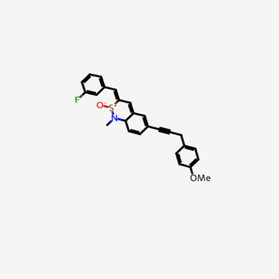 COc1ccc(CC#CC2=CC3=C/C(=C/c4cccc(F)c4)[S+]([O-])N(C)C3C=C2)cc1